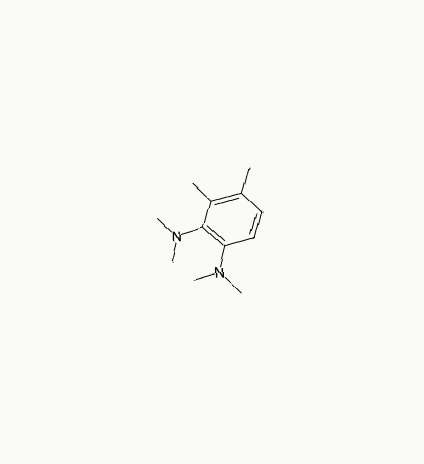 Cc1ccc(N(C)C)c(N(C)C)c1C